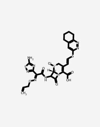 C=CCON=C(C(=O)NC1C(=O)N2C(C(=O)O)=C(C=CSc3cc4c(nn3)CCCC4)C[S+]([O-])[C@@H]12)c1nsc(N)n1